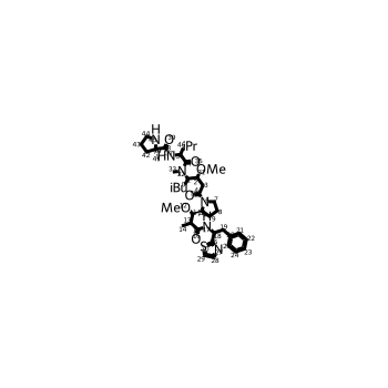 CCC(C)C(C(CC(=O)N1CCC[C@H]1C(OC)C(C)C(=O)NC(Cc1ccccc1)c1nccs1)OC)N(C)C(=O)C(NC(=O)[C@@]1(C)CCCN1)C(C)C